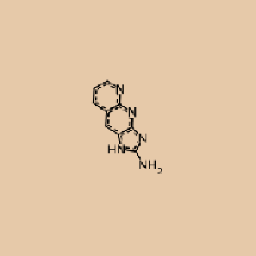 Nc1nc2nc3ncccc3cc2[nH]1